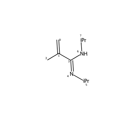 C=C(C)C(=NC(C)C)NC(C)C